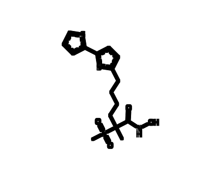 CC(CCCCc1ccc(-c2cccs2)s1)(C(=O)NO)S(C)(=O)=O